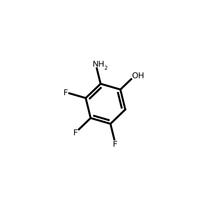 Nc1c(O)cc(F)c(F)c1F